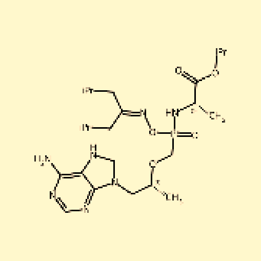 CC(C)CC(CC(C)C)=NOP(=O)(CO[C@H](C)CN1CNc2c(N)ncnc21)N[C@@H](C)C(=O)OC(C)C